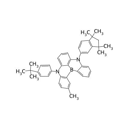 Cc1ccc2c(c1)B1c3ccccc3N(c3ccc4c(c3)C(C)(C)CC4(C)C)c3cccc(c31)N2c1ccc(C(C)(C)C)cc1